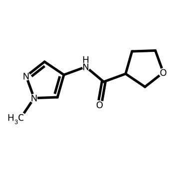 Cn1cc(NC(=O)C2CCOC2)cn1